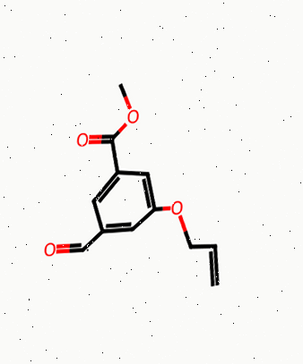 C=CCOc1cc([C]=O)cc(C(=O)OC)c1